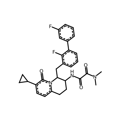 CN(C)C(=O)C(=O)NC1CCc2ccc(C3CC3)c(=O)n2C1Cc1cccc(-c2cccc(F)c2)c1F